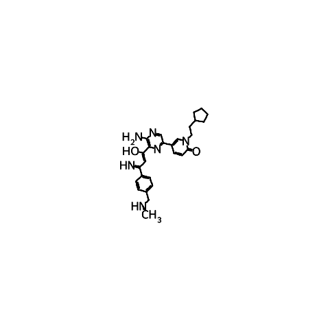 CNCc1ccc(C(=N)/C=C(\O)c2nc(-c3ccc(=O)n(CCC4CCCC4)c3)cnc2N)cc1